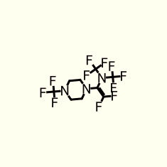 FC(F)=C(N1CCN(C(F)(F)F)CC1)N(C(F)(F)F)C(F)(F)F